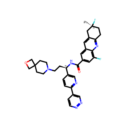 CC(C)[C@]1(F)CCc2nc3c(F)cc(C(=O)N[C@H](CCN4CCC5(CC4)COC5)c4ccc(-c5ccnnc5)nc4)cc3cc2C1